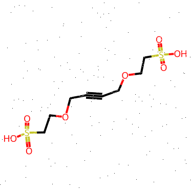 O=S(=O)(O)CCOCC#CCOCCS(=O)(=O)O